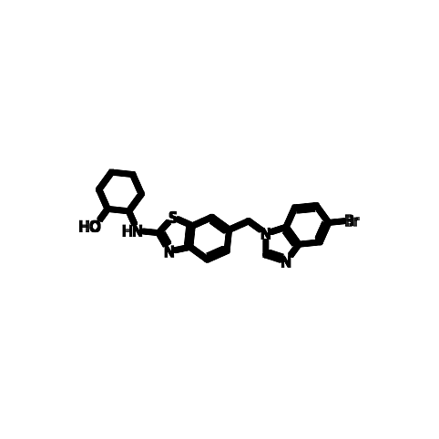 OC1CCCCC1Nc1nc2ccc(Cn3cnc4cc(Br)ccc43)cc2s1